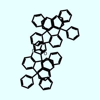 O=C(Oc1cccc(C(c2ccccc2)(c2ccccc2)c2ccccc2)c1C(c1ccccc1)(c1ccccc1)c1ccccc1)Oc1cccc(C(c2ccccc2)(c2ccccc2)c2ccccc2)c1C(c1ccccc1)(c1ccccc1)c1ccccc1